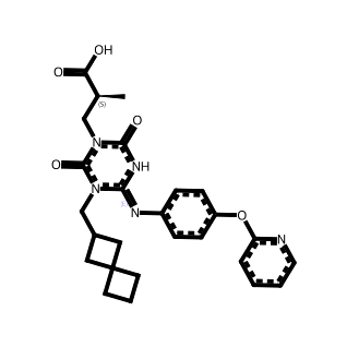 C[C@@H](Cn1c(=O)[nH]/c(=N\c2ccc(Oc3ccccn3)cc2)n(CC2CC3(CCC3)C2)c1=O)C(=O)O